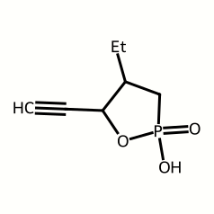 C#CC1OP(=O)(O)CC1CC